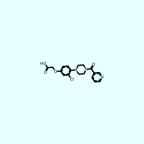 O=C(O)COc1ccc(N2CCN(C(=O)c3cccnc3)CC2)c(Cl)c1